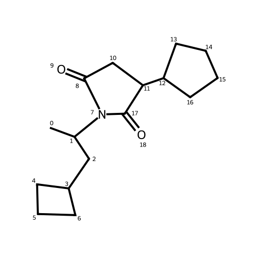 CC(CC1CCC1)N1C(=O)CC(C2CCCC2)C1=O